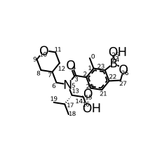 Cc1c(C(=O)N(CC2CCOCC2)[C@H](C(=O)O)C(C)C)ccc2c1B(O)OC2